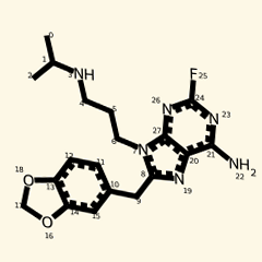 CC(C)NCCCn1c(Cc2ccc3c(c2)OCO3)nc2c(N)nc(F)nc21